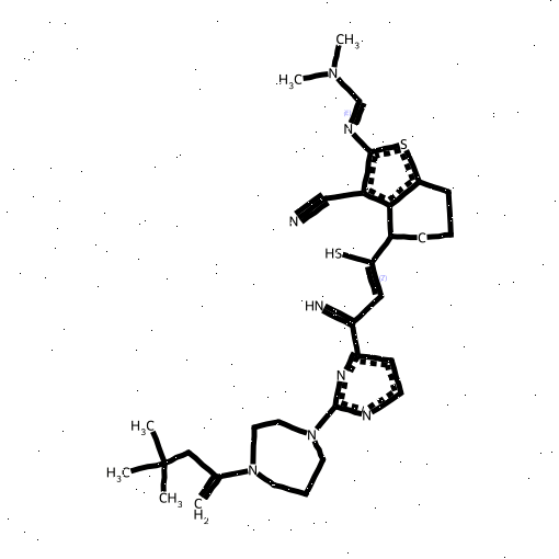 C=C(CC(C)(C)C)N1CCCN(c2nccc(C(=N)/C=C(\S)C3CCCc4sc(/N=C/N(C)C)c(C#N)c43)n2)CC1